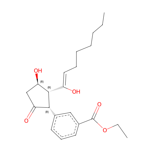 CCCCCCC=C(O)[C@H]1[C@H](O)CC(=O)[C@H]1c1cccc(C(=O)OCC)c1